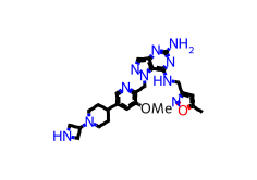 COc1cc(C2CCN(C3CNC3)CC2)cnc1Cn1ncc2nc(N)nc(NCc3cc(C)on3)c21